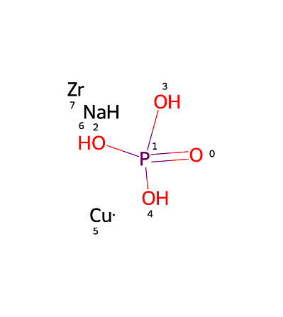 O=P(O)(O)O.[Cu].[NaH].[Zr]